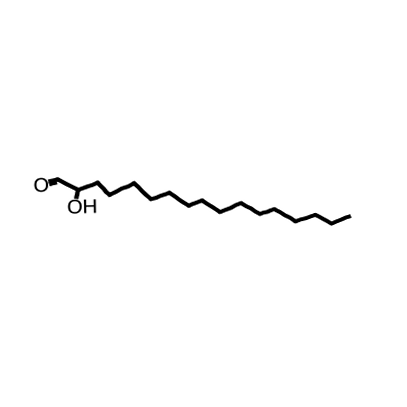 CCCCCCCCCCCCCCCC(O)C=O